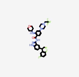 O=C(Nc1n[nH]c2ccc(C(CF)c3cc(F)ccc3F)cc12)c1ccc(N2CCN(CC(F)(F)F)CC2)cc1NC1CCOCC1